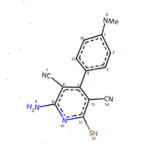 CNc1ccc(-c2c(C#N)c(N)nc(S)c2C#N)cc1